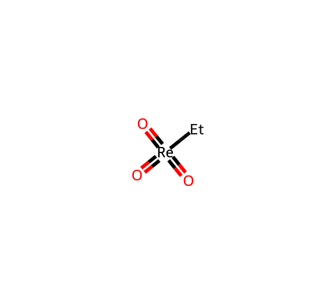 C[CH2][Re](=[O])(=[O])=[O]